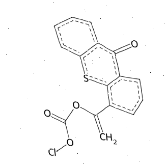 C=C(OC(=O)OCl)c1cccc2c(=O)c3ccccc3sc12